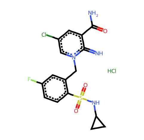 Cl.N=c1c(C(N)=O)cc(Cl)cn1Cc1cc(F)ccc1S(=O)(=O)NC1CC1